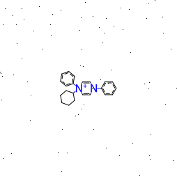 C1=C[N+](c2ccccc2)(C2CCCCC2)C=CN1c1ccccc1